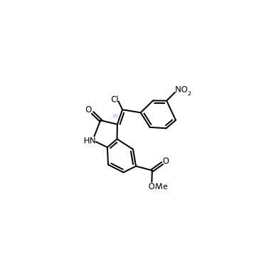 COC(=O)c1ccc2c(c1)/C(=C(/Cl)c1cccc([N+](=O)[O-])c1)C(=O)N2